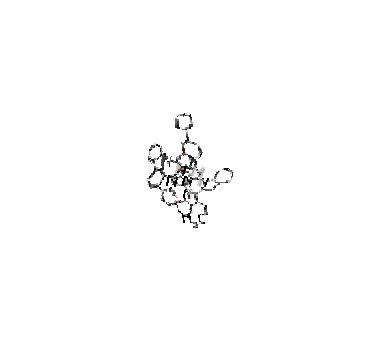 C/C=C\c1c(-c2cc3ccccc3n2-c2nc(-c3ccc(-c4ccccc4)cc3)nc(-n3c4ccccc4c4ccc5c6ccccc6n(C6C=CC=CC6)c5c43)n2)n(C2=CCCC=C2)c2ccccc12